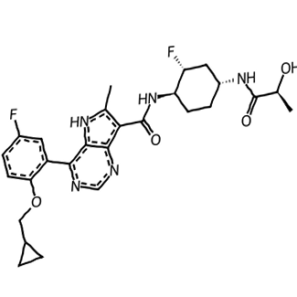 Cc1[nH]c2c(-c3cc(F)ccc3OCC3CC3)ncnc2c1C(=O)N[C@@H]1CC[C@@H](NC(=O)[C@H](C)O)C[C@H]1F